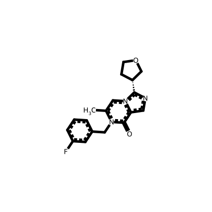 Cc1cn2c([C@@H]3CCOC3)ncc2c(=O)n1Cc1cccc(F)c1